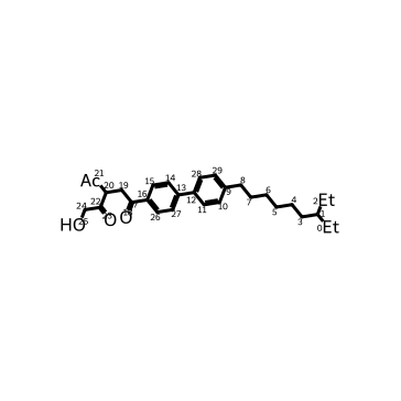 CCC(CC)CCCCCCc1ccc(-c2ccc(C(=O)CC(C(C)=O)C(=O)CO)cc2)cc1